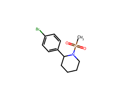 CS(=O)(=O)N1CCCCC1c1ccc(Br)cc1